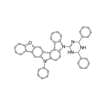 c1ccc(C2N=C(n3c4ccccc4c4c5c6cc7oc8ccccc8c7cc6n(-c6ccccc6)c5ccc43)NC(c3ccccc3)N2)cc1